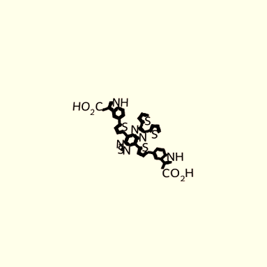 O=C(O)CC1=CNC2C=CC(c3ccc(-c4c5nsnc5c(-c5ccc(-c6ccc7[nH]cc(CC(=O)O)c7c6)s5)c5nc(-c6cccs6)c(-c6cccs6)nc45)s3)=CC12